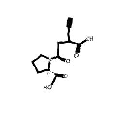 C#CC(CC(=O)N1CCC[C@H]1C(=O)O)C(=O)O